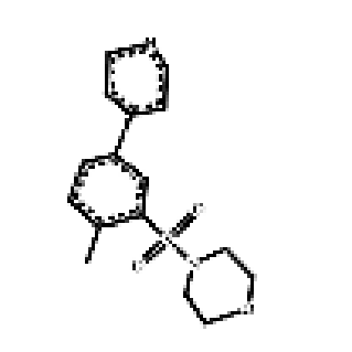 Cc1ccc(-c2ccncc2)cc1S(=O)(=O)N1CCOCC1